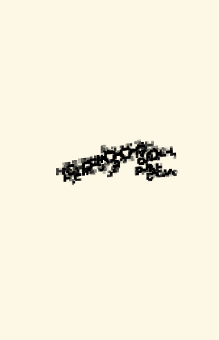 COC(=O)N[C@H](C(=O)N1C[C@@H](C)C[C@H]1c1nc(-c2ccc(-c3cc(F)c(NC(=O)c4ccc(N5CCNC[C@H]5C)nc4)cc3OC(F)(F)F)cc2)c[nH]1)C(C)C